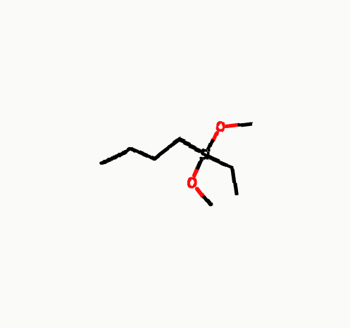 CCCC[Si](CC)(OC)OC